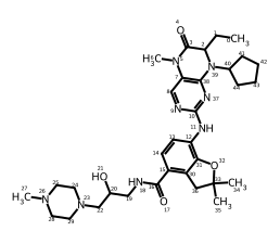 CCC1C(=O)N(C)c2cnc(Nc3ccc(C(=O)NCC(O)CN4CCN(C)CC4)c4c3OC(C)(C)C4)nc2N1C1CCCC1